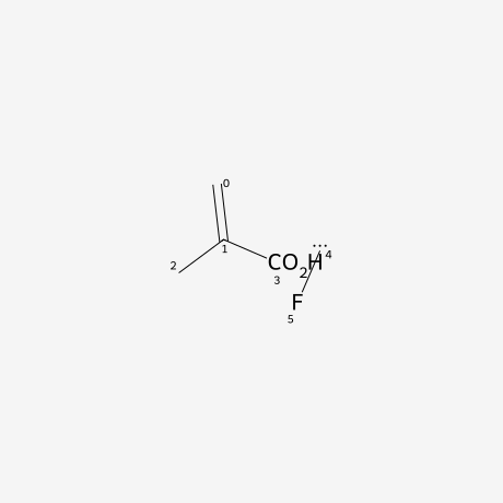 C=C(C)C(=O)O.[C]F